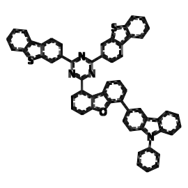 c1ccc(-n2c3ccccc3c3cc(-c4cccc5c4oc4cccc(-c6nc(-c7ccc8c(c7)sc7ccccc78)nc(-c7ccc8c(c7)sc7ccccc78)n6)c45)ccc32)cc1